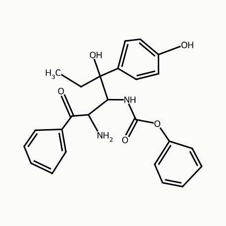 CCC(O)(c1ccc(O)cc1)C(NC(=O)Oc1ccccc1)C(N)C(=O)c1ccccc1